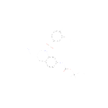 COc1cc(S(=O)(=O)N2C[C@@H](CN)Cc3ccc(NC(=O)OC(C)(C)C)cc32)ccc1F